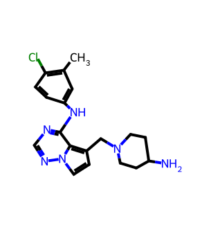 Cc1cc(Nc2ncnn3ccc(CN4CCC(N)CC4)c23)ccc1Cl